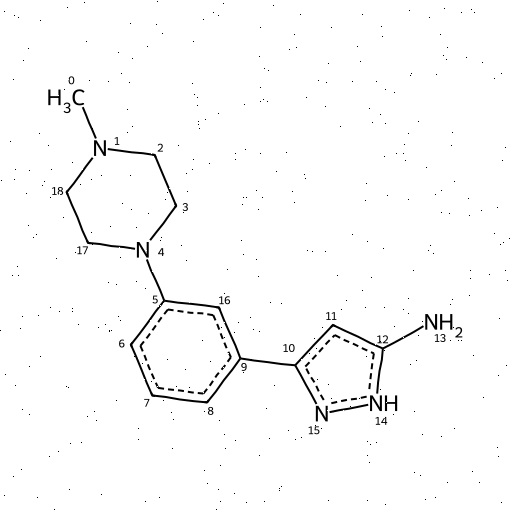 CN1CCN(c2cccc(-c3cc(N)[nH]n3)c2)CC1